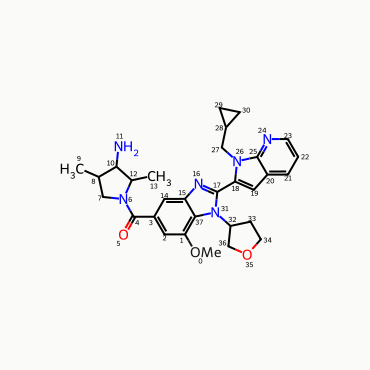 COc1cc(C(=O)N2CC(C)C(N)C2C)cc2nc(-c3cc4cccnc4n3CC3CC3)n(C3CCOC3)c12